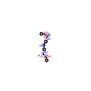 C[C@H](NC(=O)[C@@H](O)c1ccccc1)C(=O)Nc1ccc(-c2cc(-c3ccc(NC(=O)[C@H](C)NC(=O)[C@@H](O)c4ccccc4)cc3)[nH]n2)cc1